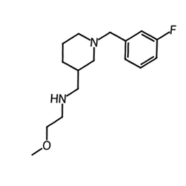 COCCNCC1CCCN(Cc2cccc(F)c2)C1